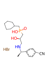 Br.C[C@@H](NC[C@@H](O)CP(=O)(O)CC1CCCCC1)c1ccc(C#N)cc1